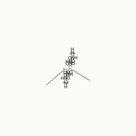 CCCCCCCCCCCCCCCCC(C)CC1C(=O)N(NC(=O)C(=O)NC2CC(C)(C)NC(C)(C)C2)C(=O)C1C(CCCCCCCCCCCCCCCC)CC1C(=O)N(NC(=O)C(=O)NC2CC(C)(C)NC(C)(C)C2)C(=O)C1C